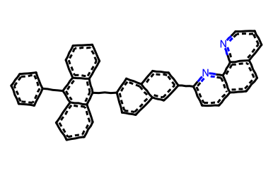 c1ccc(-c2c3ccccc3c(-c3ccc4cc(-c5ccc6ccc7cccnc7c6n5)ccc4c3)c3ccccc23)cc1